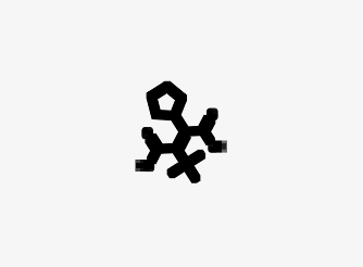 CC(C)(C)C(C(=O)O)=C(C(=O)O)C1CCCC1